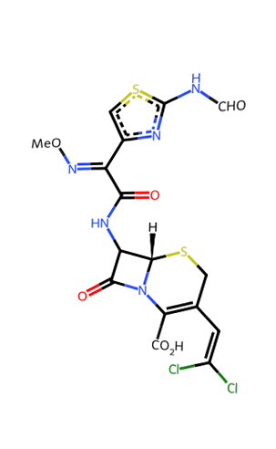 CON=C(C(=O)NC1C(=O)N2C(C(=O)O)=C(C=C(Cl)Cl)CS[C@@H]12)c1csc(NC=O)n1